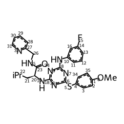 COc1ccc(Sc2nc(Nc3cccc(F)c3)nc(N[C@@H](CC(C)C)C(=O)NCc3ccccn3)n2)cc1